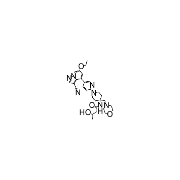 CCOc1cc(-c2ccc(N3CCC(CN4CCOCC4)(NC(=O)C[C@@H](C)O)CC3)nc2)c2c(C#N)cnn2c1